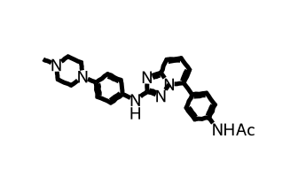 CC(=O)Nc1ccc(-c2cccc3nc(Nc4ccc(N5CCN(C)CC5)cc4)nn23)cc1